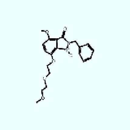 COCCOCCOc1ccc(OC)c2c(=O)n(Cc3ccccc3)[s+]([O-])c12